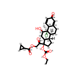 CCOC(=O)O[C@]1(C(=O)COC(=O)C2CC2)CC[C@H]2[C@@H]3CCC4=CC(=O)C=C[C@]4(C)[C@@]3(Cl)C(O)C[C@@]21C